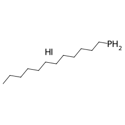 CCCCCCCCCCCCP.I